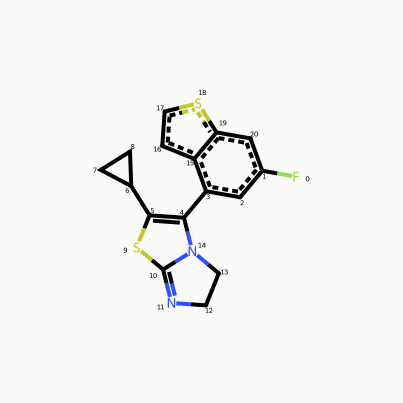 Fc1cc(C2=C(C3CC3)SC3=NCCN32)c2ccsc2c1